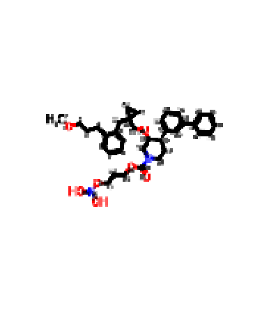 COCCCc1ccccc1CC1(COC2CN(C(=O)OCCCON(O)O)CC[C@@H]2c2cccc(-c3ccccc3)c2)CC1